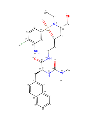 CC(C)CN([C@H](CO)CCCCNC(=O)[C@H](Cc1ccc2ccccc2c1)NC(=O)N(C)C)S(=O)(=O)c1ccc(F)c(N)c1